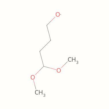 COC(CCC[O])OC